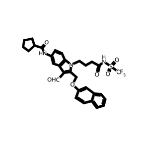 O=Cc1c(COc2ccc3ccccc3c2)n(CCCC(=O)NS(=O)(=O)C(F)(F)F)c2ccc(NC(=O)C3CCCC3)cc12